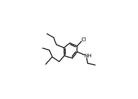 CCCc1cc(Cl)c(NCC)cc1CC(C)CC